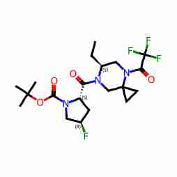 CC[C@H]1CN(C(=O)C(F)(F)F)C2(CC2)CN1C(=O)[C@@H]1C[C@@H](F)CN1C(=O)OC(C)(C)C